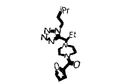 CCC(c1nnnn1CCC(C)C)N1CCN(C(=O)c2ccco2)CC1